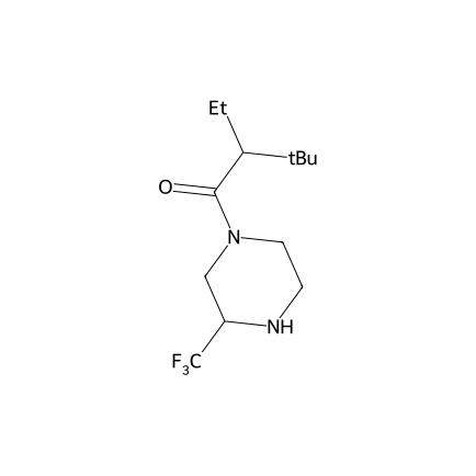 CCC(C(=O)N1CCNC(C(F)(F)F)C1)C(C)(C)C